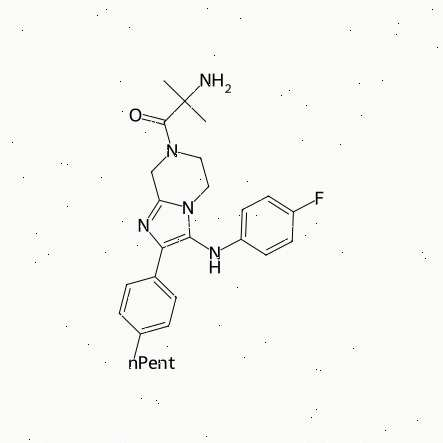 CCCCCc1ccc(-c2nc3n(c2Nc2ccc(F)cc2)CCN(C(=O)C(C)(C)N)C3)cc1